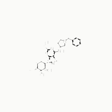 CCCSc1nc(N[C@@H]2CCN(Cc3ccccc3)C2)c2nnn([C@@H]3CC[C@H](O)[C@@H](O)[C@H]3O)c2n1